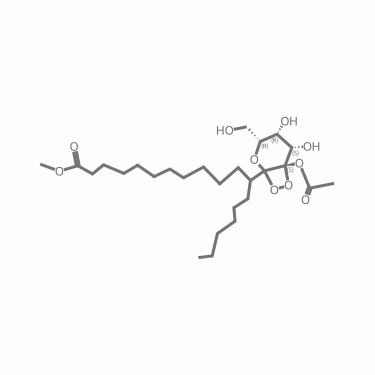 CCCCCCC(CCCCCCCCCCC(=O)OC)C12OO[C@@]1(OC(C)=O)[C@@H](O)[C@@H](O)[C@@H](CO)O2